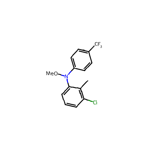 CON(c1ccc(C(F)(F)F)cc1)c1cccc(Cl)c1C